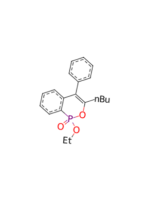 CCCCC1=C(c2ccccc2)c2ccccc2P(=O)(OCC)O1